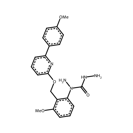 COc1ccc(-c2cccc(OCc3c(OC)cccc3N(N)C(=O)NN)n2)cc1